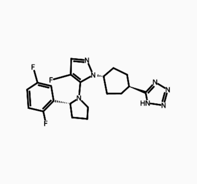 Fc1ccc(F)c([C@H]2CCCN2c2c(F)cnn2[C@H]2CC[C@H](c3nnn[nH]3)CC2)c1